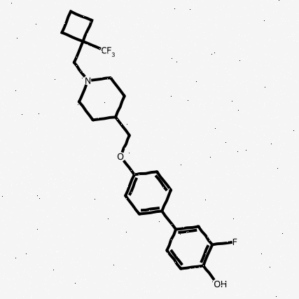 Oc1ccc(-c2ccc(OCC3CCN(CC4(C(F)(F)F)CCC4)CC3)cc2)cc1F